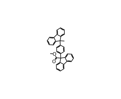 COC(=O)C1(c2ccc(C3(C)c4ccccc4-c4ccccc43)cc2)c2ccccc2-c2ccccc21